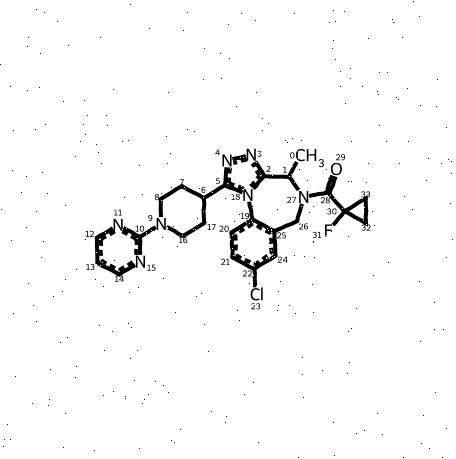 CC1c2nnc(C3CCN(c4ncccn4)CC3)n2-c2ccc(Cl)cc2CN1C(=O)C1(F)CC1